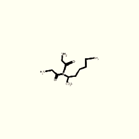 NCCCCC(C(=O)O)N(C(=O)CN)C(=O)CN